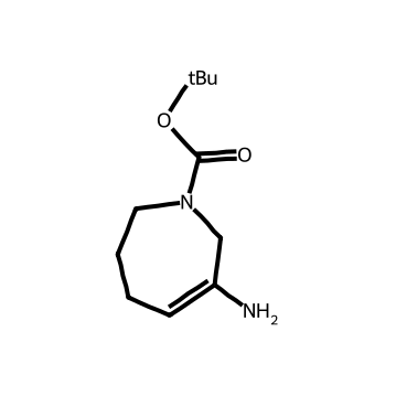 CC(C)(C)OC(=O)N1CCCC=C(N)C1